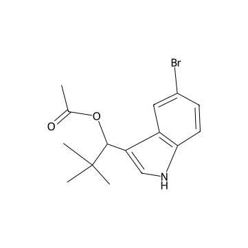 CC(=O)OC(c1c[nH]c2ccc(Br)cc12)C(C)(C)C